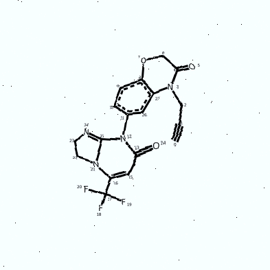 C#CCN1C(=O)COc2ccc(N3C(=O)C=C(C(F)(F)F)N4CCN=C43)cc21